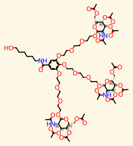 CC(=O)N[C@H]1[C@H](OCCOCCOCCOc2cc(C(=O)NCCCCCCO)cc(OCCOCCOCCO[C@@H]3O[C@H](COC(C)=O)[C@H](OC(C)=O)[C@H](OC(C)=O)[C@H]3NC(C)=O)c2OCCOCCOCCO[C@@H]2O[C@H](COC(C)=O)[C@H](OC(C)=O)[C@H](OC(C)=O)[C@H]2NC(C)=O)O[C@H](COC(C)=O)[C@H](OC(C)=O)[C@@H]1OC(C)=O